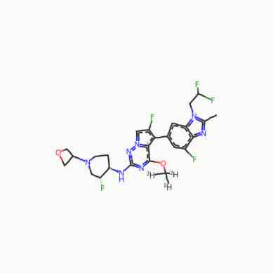 [2H]C([2H])([2H])Oc1nc(N[C@@H]2CCN(C3COC3)C[C@H]2F)nn2cc(F)c(-c3cc(F)c4nc(C)n(CC(F)F)c4c3)c12